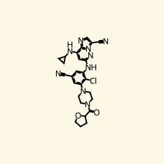 N#Cc1cc(Nc2cc(NC3CC3)c3ncc(C#N)n3n2)c(Cl)c(N2CCN(C(=O)C3CCCO3)CC2)c1